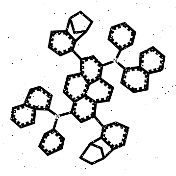 c1ccc(N(c2cccc3ccccc23)c2cc(-c3cccc4c3C3CCC4C3)c3ccc4c(N(c5ccccc5)c5cccc6ccccc56)cc(-c5cccc6c5C5CCC6C5)c5ccc2c3c54)cc1